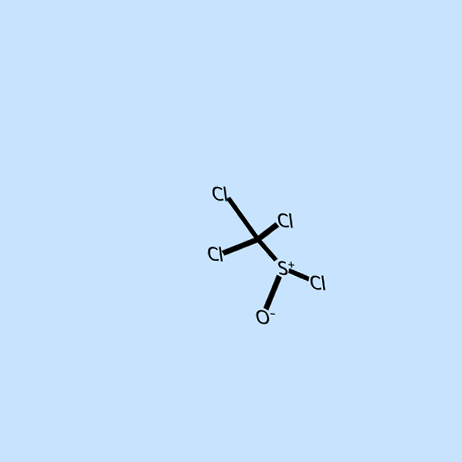 [O-][S+](Cl)C(Cl)(Cl)Cl